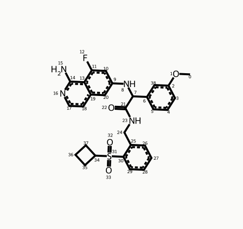 COc1cccc(C(Nc2cc(F)c3c(N)nccc3c2)C(=O)NCc2ccccc2S(=O)(=O)C2CCC2)c1